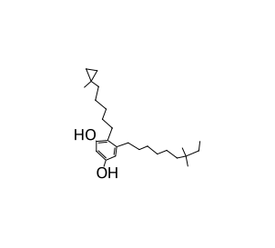 CCC(C)(C)CCCCCCc1cc(O)cc(O)c1CCCCCC1(C)CC1